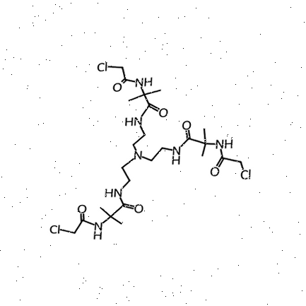 CC(C)(NC(=O)CCl)C(=O)NCCN(CCNC(=O)C(C)(C)NC(=O)CCl)CCNC(=O)C(C)(C)NC(=O)CCl